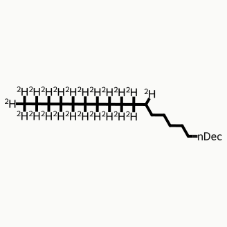 [2H]C(CCCCCCCCCCCCCCC)C([2H])([2H])C([2H])([2H])C([2H])([2H])C([2H])([2H])C([2H])([2H])C([2H])([2H])C([2H])([2H])C([2H])([2H])C([2H])([2H])C([2H])([2H])[2H]